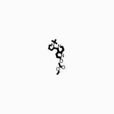 CCOC(=O)COc1ccc2c(C3CCCN3C(C)(C)C)nccc2n1